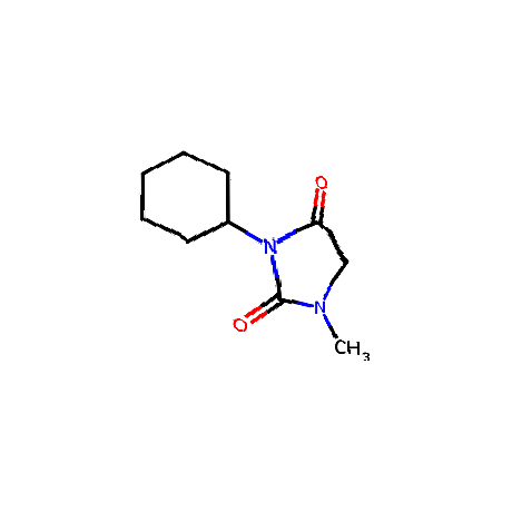 CN1CC(=O)N(C2CCCCC2)C1=O